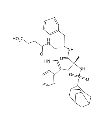 C[C@](Cc1c[nH]c2ccccc12)(NS(=O)(=O)C1C2CC3CC(C2)CC1C3)C(=O)N[C@H](CNC(=O)CCC(=O)O)Cc1ccccc1